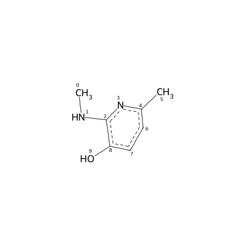 CNc1nc(C)ccc1O